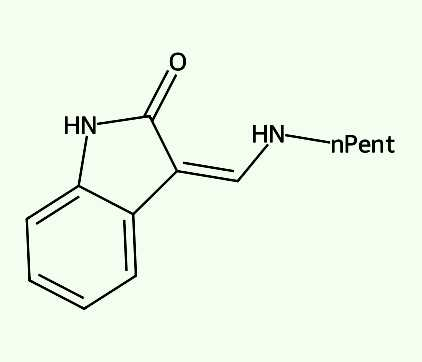 CCCCCNC=C1C(=O)Nc2ccccc21